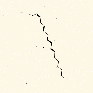 CC/C=C\CC=CCC=CC=CCCCCCC